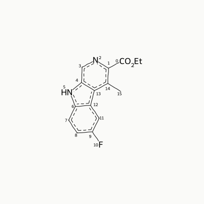 CCOC(=O)c1ncc2[nH]c3ccc(F)cc3c2c1C